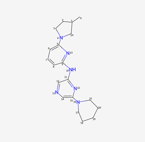 CC1CCN(c2cccc(Nc3cncc(N4CCCCC4)n3)n2)C1